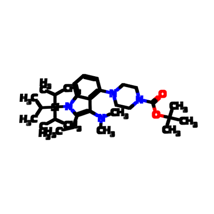 CCc1c(N(C)C)c2c(N3CCN(C(=O)OC(C)(C)C)CC3)cccc2n1[Si](C(C)C)(C(C)C)C(C)C